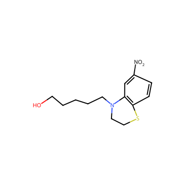 O=[N+]([O-])c1ccc2c(c1)N(CCCCCO)CCS2